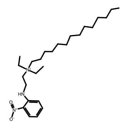 CCCCCCCCCCCCCC[N+](CC)(CC)CCNc1ccccc1[N+](=O)[O-]